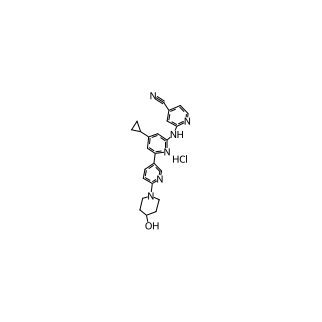 Cl.N#Cc1ccnc(Nc2cc(C3CC3)cc(-c3ccc(N4CCC(O)CC4)nc3)n2)c1